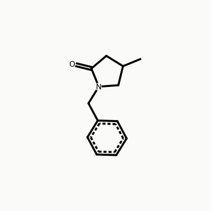 CC1CC(=O)N(Cc2ccccc2)C1